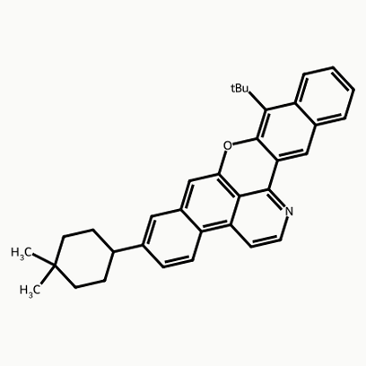 CC1(C)CCC(c2ccc3c(c2)cc2c4c(nccc43)-c3cc4ccccc4c(C(C)(C)C)c3O2)CC1